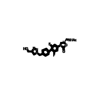 CC(=O)NC[C@H]1CN(c2cc(F)c(-c3ccc(CN4CC(CO)N=N4)cc3)c(F)c2)C(=O)O1